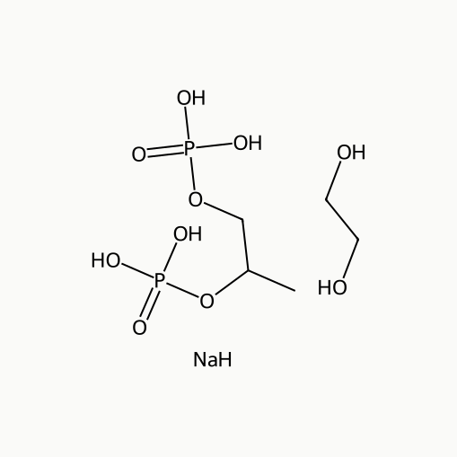 CC(COP(=O)(O)O)OP(=O)(O)O.OCCO.[NaH]